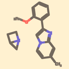 C1CN2CC12.CCCOc1ccccc1-c1cn2ccc(C)cc2n1